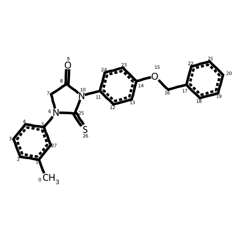 Cc1cccc(N2CC(=O)N(c3ccc(OCc4ccccc4)cc3)C2=S)c1